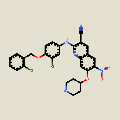 N#Cc1cc2cc([N+](=O)[O-])c(OC3CCNCC3)cc2nc1Nc1ccc(OCc2ccccc2Cl)c(Cl)c1